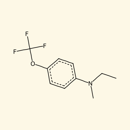 CCN(C)c1ccc(OC(F)(F)F)cc1